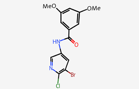 COc1cc(OC)cc(C(=O)Nc2cnc(Cl)c(Br)c2)c1